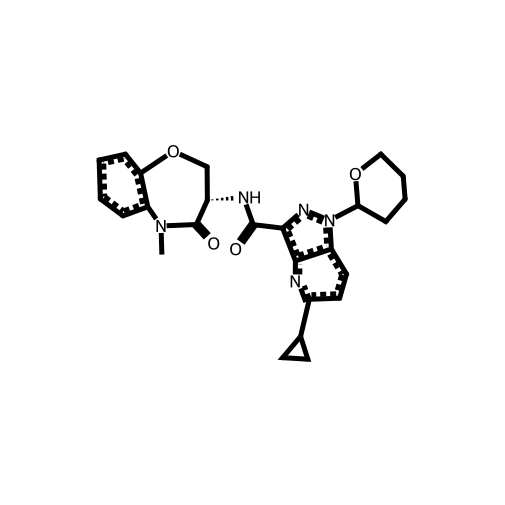 CN1C(=O)[C@@H](NC(=O)c2nn(C3CCCCO3)c3ccc(C4CC4)nc23)COc2ccccc21